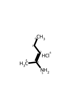 CC/C=C(\C)N.Cl